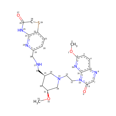 COc1ccc2ncc(=O)n(CCN3C[C@H](CNCc4ccc5c(n4)NC(=O)CS5)C[C@H](OC)C3)c2n1